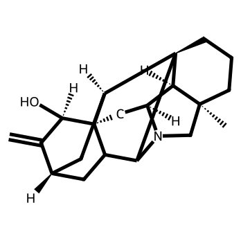 C=C1[C@H]2CC3C4N5C[C@]6(C)CCC[C@]47[C@H](C2)[C@]3(C[C@H]5[C@H]67)[C@@H]1O